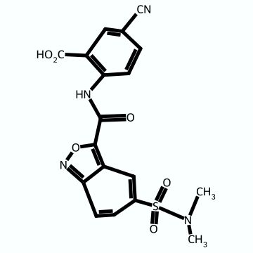 CN(C)S(=O)(=O)c1ccc2noc(C(=O)Nc3ccc(C#N)cc3C(=O)O)c2c1